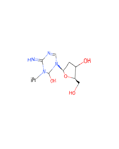 CC(C)N1C(=N)N=CN([C@H]2CC(O)[C@@H](CO)O2)C1O